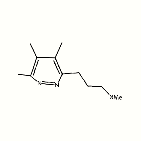 CNCCCc1nnc(C)c(C)c1C